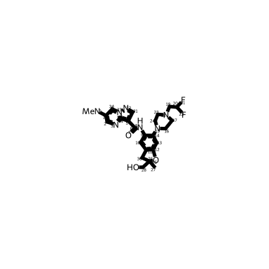 CNc1cnc2c(C(=O)Nc3cc4c(cc3N3CCN(CC(F)F)CC3)OC(C)(CO)C4)cnn2c1